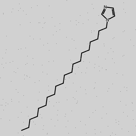 CCCCCCCCCCCCCCCCCCCCn1ccnc1